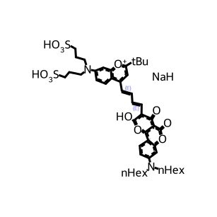 CCCCCCN(CCCCCC)c1ccc2c(c1)oc(=O)c1c(=O)c(/C=C/C=C/c3cc(C(C)(C)C)[o+]c4cc(N(CCCS(=O)(=O)O)CCCS(=O)(=O)O)ccc34)c(O)oc12.[NaH]